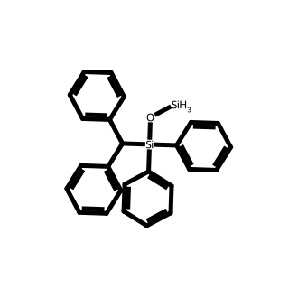 [SiH3]O[Si](c1ccccc1)(c1ccccc1)C(c1ccccc1)c1ccccc1